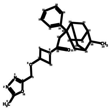 Cc1nnc(COC2CN(C(=O)CC3(c4ccccc4)C4CC5CC3CC(C4)C5C)C2)o1